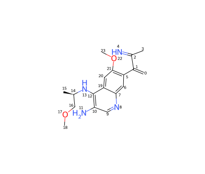 C=C(C(C)=N)c1cc2ncc(N)c(N[C@H](C)COC)c2cc1OC